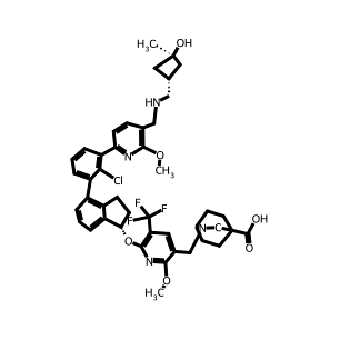 COc1nc(-c2cccc(-c3cccc4c3CC[C@@H]4Oc3nc(OC)c(CN4CC5(C(=O)O)CCC4CC5)cc3C(F)(F)F)c2Cl)ccc1CNC[C@H]1C[C@](C)(O)C1